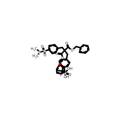 CN(C)S(=O)(=O)c1ccc(CC(Cc2ccc(C(F)(F)P(=O)(O)O)cc2)(C(=O)OCc2ccccc2)C(=O)OCc2ccccc2)cc1